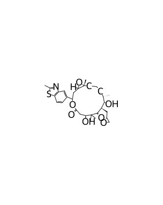 Cc1nc2cc(C3C[C@@H]4O[C@]4(C)CCC[C@H](C)[C@H](O)[C@@H](CC4CO4)C(=O)C(C)(C)[C@@H](O)CC(=O)O3)ccc2s1